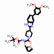 COc1ccc(-c2ccc3[nH]c(C4CCN(C(=O)[C@H](Cc5cccs5)NC(=O)OC(C)(C)C)CC4)nc3c2)cc1OC